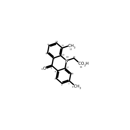 Cc1ccc2c(=O)c3cccc(C)c3n(CC(=O)O)c2c1